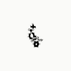 CC1CN(C(=O)OC(C)(C)C)CCCN1S(=O)(=O)c1ccccc1[N+](=O)[O-]